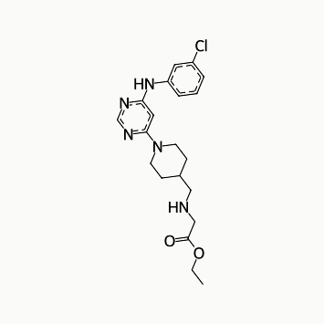 CCOC(=O)CNCC1CCN(c2cc(Nc3cccc(Cl)c3)ncn2)CC1